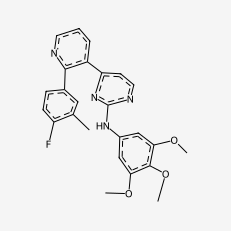 COc1cc(Nc2nccc(-c3cccnc3-c3ccc(F)c(C)c3)n2)cc(OC)c1OC